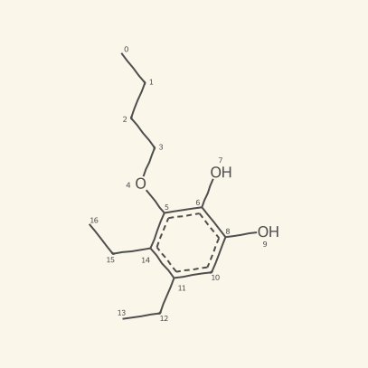 CCCCOc1c(O)c(O)cc(CC)c1CC